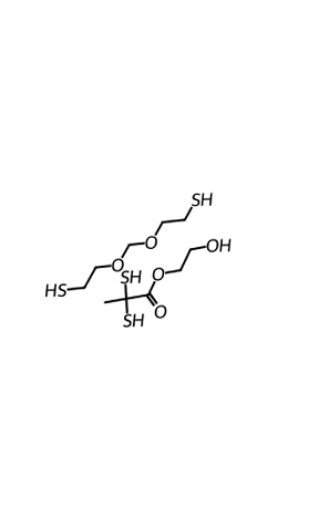 CC(S)(S)C(=O)OCCO.SCCOCOCCS